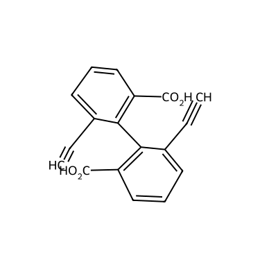 C#Cc1cccc(C(=O)O)c1-c1c(C#C)cccc1C(=O)O